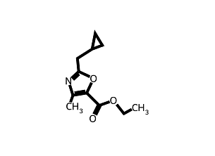 CCOC(=O)c1oc(CC2CC2)nc1C